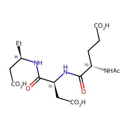 CC[C@H](CC(=O)O)NC(=O)[C@H](CC(=O)O)NC(=O)[C@H](CCC(=O)O)NC(C)=O